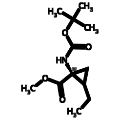 CCC1C[C@@]1(NC(=O)OC(C)(C)C)C(=O)OC